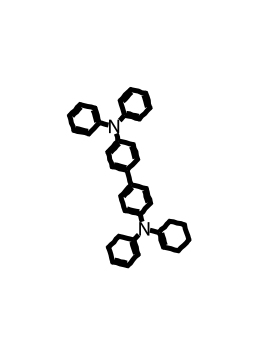 C1=CCCC(N(C2=CCCCC2)c2ccc(-c3ccc(N(c4ccccc4)c4ccccc4)cc3)cc2)=C1